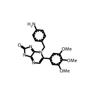 COc1cc(C2=CN=C3[N]C(=O)N=C3N2Cc2ccc(N)cc2)cc(OC)c1OC